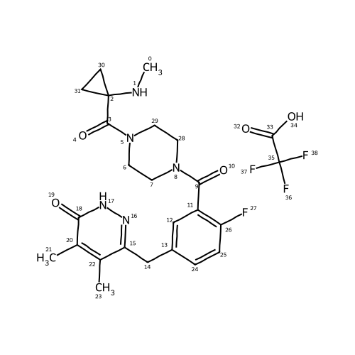 CNC1(C(=O)N2CCN(C(=O)c3cc(Cc4n[nH]c(=O)c(C)c4C)ccc3F)CC2)CC1.O=C(O)C(F)(F)F